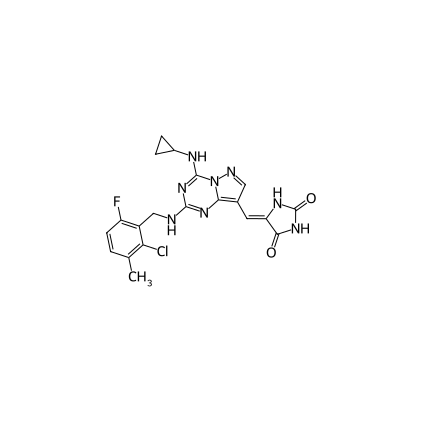 Cc1ccc(F)c(CNc2nc(NC3CC3)n3ncc(/C=C4\NC(=O)NC4=O)c3n2)c1Cl